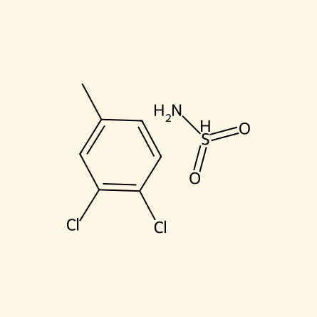 Cc1ccc(Cl)c(Cl)c1.N[SH](=O)=O